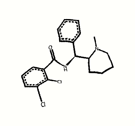 CN1CCCCC1[C@@H](NC(=O)c1cccc(Cl)c1Cl)c1ccccc1